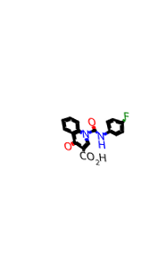 O=C(O)c1cn(C(=O)Nc2ccc(F)cc2)c2ccccc2c1=O